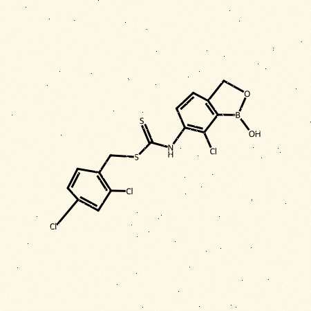 OB1OCc2ccc(NC(=S)SCc3ccc(Cl)cc3Cl)c(Cl)c21